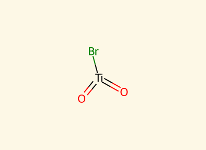 [O]=[Ti](=[O])[Br]